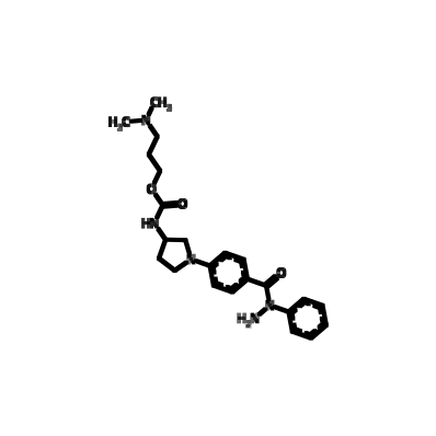 CN(C)CCCOC(=O)NC1CCN(c2ccc(C(=O)N(N)c3ccccc3)cc2)C1